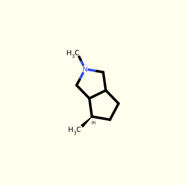 C[C@@H]1CCC2CN(C)CC21